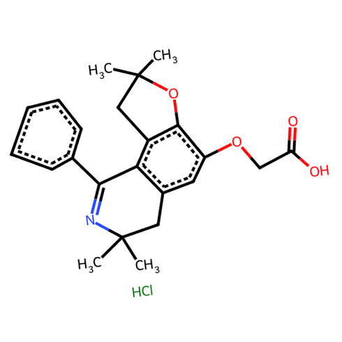 CC1(C)Cc2cc(OCC(=O)O)c3c(c2C(c2ccccc2)=N1)CC(C)(C)O3.Cl